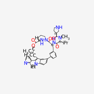 CCn1c(-c2cccnc2C(C)C)c2c3cc(ccc31)-c1cccc(c1)C[C@H](NC(=O)[C@H](C(C)C)N(C)C(=O)[C@H]1CCNC1)C(=O)N1CCC[C@H](N1)C(=O)OCC(C)(C)C2